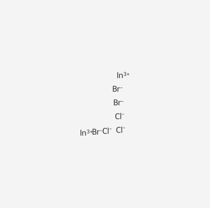 [Br-].[Br-].[Br-].[Cl-].[Cl-].[Cl-].[In+3].[In+3]